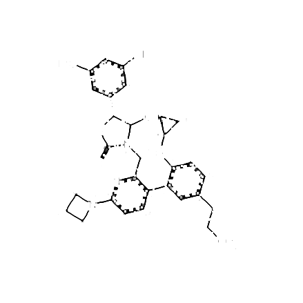 CC1[C@@H](c2cc(C(F)(F)F)cc(C(F)(F)F)c2)OC(=O)N1Cc1nc(N2CCC2)ccc1-c1cc(CCC(=O)O)ccc1OC1CC1